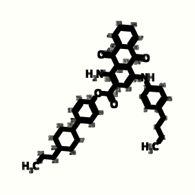 CCCCc1ccc(Nc2cc(C(=O)Oc3ccc(C4CCC(CCC)CC4)cc3)c(N)c3c2C(=O)c2ccccc2C3=O)cc1